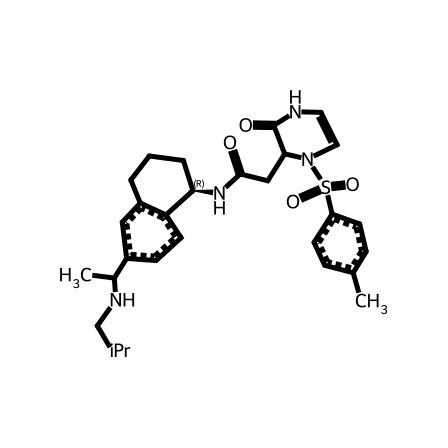 Cc1ccc(S(=O)(=O)N2C=CNC(=O)C2CC(=O)N[C@@H]2CCCc3cc(C(C)NCC(C)C)ccc32)cc1